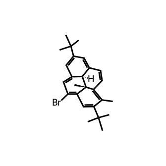 CC1=C2C=CC3=CC(C(C)(C)C)=CC4=CC(Br)=C(C=C1C(C)(C)C)[C@]2(C)[C@H]34